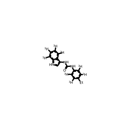 [2H]c1c([2H])c(NC(=O)Nc2c[nH]c3c([2H])c([2H])c([2H])c([2H])c23)c([2H])c([2H])c1CC